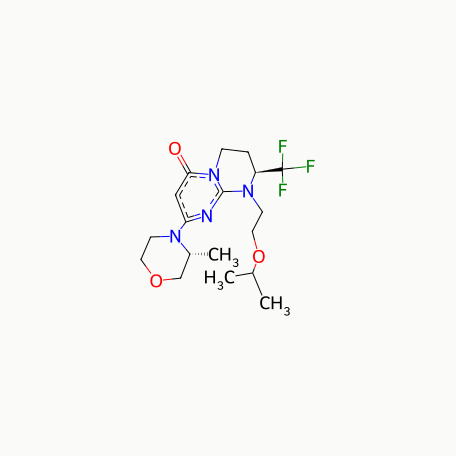 CC(C)OCCN1c2nc(N3CCOC[C@H]3C)cc(=O)n2CC[C@H]1C(F)(F)F